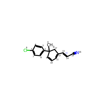 CC1(c2ccc(Cl)cc2)C=CC=C(/C=C/C#N)C1